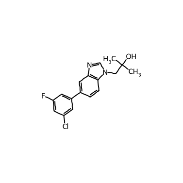 CC(C)(O)Cn1cnc2cc(-c3cc(F)cc(Cl)c3)ccc21